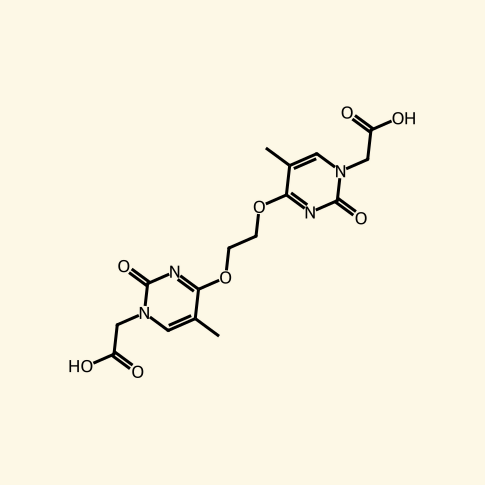 Cc1cn(CC(=O)O)c(=O)nc1OCCOc1nc(=O)n(CC(=O)O)cc1C